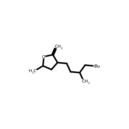 C=C1OC(C)CC1CCC(C)CC(C)(C)C